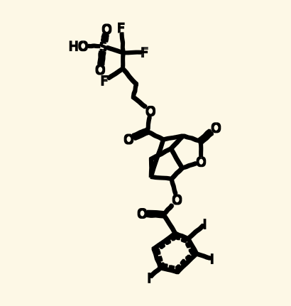 O=C(OC1C2CC3C1OC(=O)C3C2C(=O)OCCC(F)C(F)(F)S(=O)(=O)O)c1cc(I)cc(I)c1I